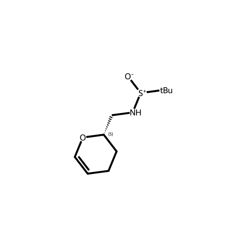 CC(C)(C)[S+]([O-])NC[C@@H]1CCC=CO1